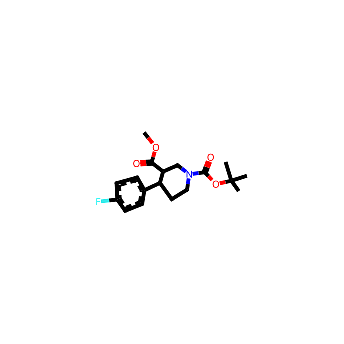 COC(=O)C1CN(C(=O)OC(C)(C)C)CCC1c1ccc(F)cc1